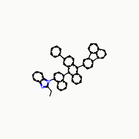 CCc1nc2ccccc2n1-c1ccc(-c2c3ccccc3c(-c3ccc4c(c3)-c3cccc5cccc-4c35)c3ccc(-c4ccccc4)cc23)c2ccccc12